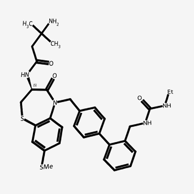 CCNC(=O)NCc1ccccc1-c1ccc(CN2C(=O)[C@H](NC(=O)CC(C)(C)N)CSc3cc(SC)ccc32)cc1